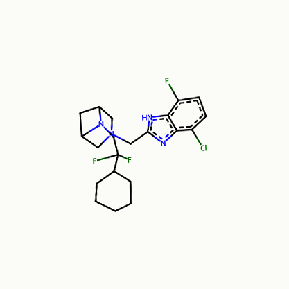 Fc1ccc(Cl)c2nc(CN3CC4CC(C3)N4CC(F)(F)C3CCCCC3)[nH]c12